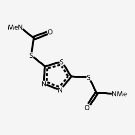 CNC(=O)Sc1nnc(SC(=O)NC)s1